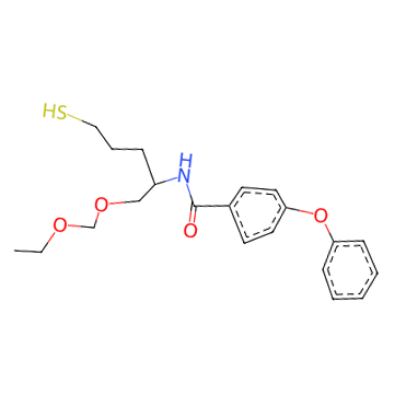 CCOCOCC(CCCS)NC(=O)c1ccc(Oc2ccccc2)cc1